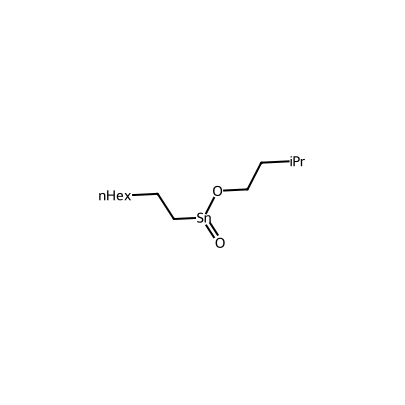 CCCCCCC[CH2][Sn](=[O])[O]CCC(C)C